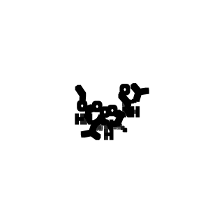 CCOC(=O)N[C@H](C(=O)N[C@@H](C)C(=O)N[C@H](C=O)CC(C)C)C(C)C